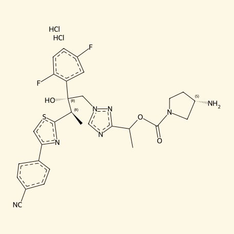 CC(OC(=O)N1CC[C@H](N)C1)c1ncn(C[C@](O)(c2cc(F)ccc2F)[C@@H](C)c2nc(-c3ccc(C#N)cc3)cs2)n1.Cl.Cl